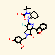 COc1ccc(CN2Cc3c(F)c(N[C@@H]4CCCC[C@@H]4N(C(=O)O)C(C)(C)C)nc(-c4coc5ccccc45)c3C2=O)c(OC)c1